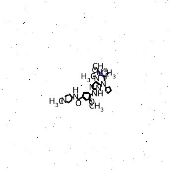 CO/N=C1\N(C)c2cnc(Nc3ccc(C(=O)NC4CCN(C)CC4)cc3OC)nc2N(C2CCCC2)CC1(C)F